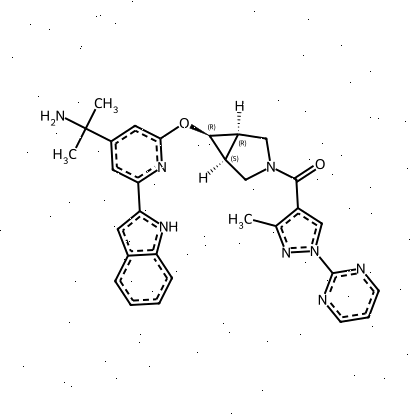 Cc1nn(-c2ncccn2)cc1C(=O)N1C[C@@H]2[C@H](C1)[C@@H]2Oc1cc(C(C)(C)N)cc(-c2cc3ccccc3[nH]2)n1